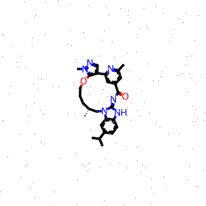 Cc1cc2cc(n1)-c1cnn(C)c1OCCC[C@@H](C)CN1/C(=N/C2=O)Nc2ccc(C(C)C)cc21